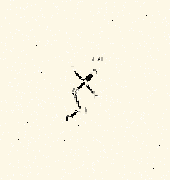 O=P(F)(F)OBF.[LiH]